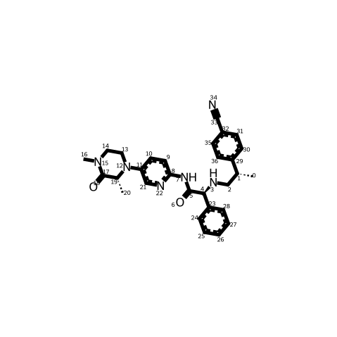 C[C@H](CN[C@H](C(=O)Nc1ccc(N2CCN(C)C(=O)[C@H]2C)cn1)c1ccccc1)c1ccc(C#N)cc1